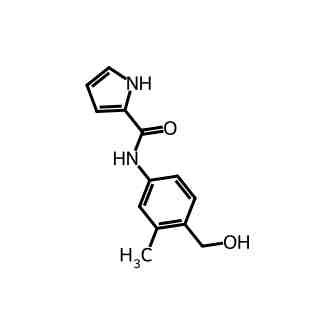 Cc1cc(NC(=O)c2ccc[nH]2)ccc1CO